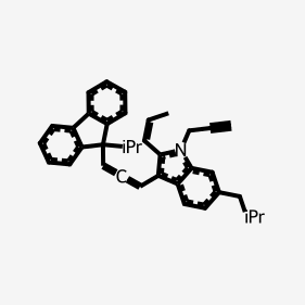 C#CCn1c(/C=C\C)c(C=C=CC2(C(C)C)c3ccccc3-c3ccccc32)c2ccc(CC(C)C)cc21